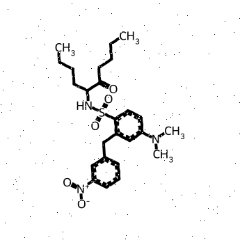 CCCCC(=O)C(CCCC)NS(=O)(=O)c1ccc(N(C)C)cc1Cc1cccc([N+](=O)[O-])c1